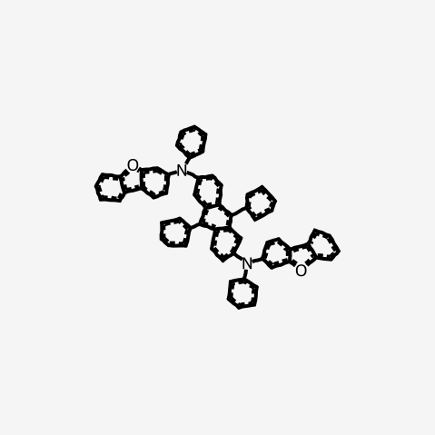 c1ccc(-c2c3ccc(N(c4ccccc4)c4ccc5c(c4)oc4ccccc45)cc3c(-c3ccccc3)c3ccc(N(c4ccccc4)c4ccc5c(c4)oc4ccccc45)cc23)cc1